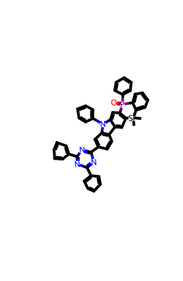 C[Si]1(C)c2ccccc2P(=O)(c2ccccc2)c2cc3c(cc21)c1ccc(-c2nc(-c4ccccc4)nc(-c4ccccc4)n2)cc1n3-c1ccccc1